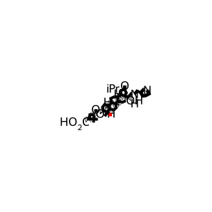 CC(C)C1=C2[C@H]3CC[C@@H]4[C@@]5(C)CC[C@H](OC(=O)[C@H]6C[C@@H](C(=O)O)C6(C)C)C(C)(C)[C@@H]5CC[C@@]4(C)[C@]3(C)CC[C@@]2([C@@H](O)CNCc2cccnc2)CC1=O